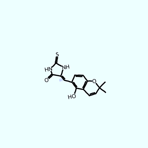 CC1(C)C=Cc2c(ccc(/C=C3\NC(=S)NC3=O)c2O)O1